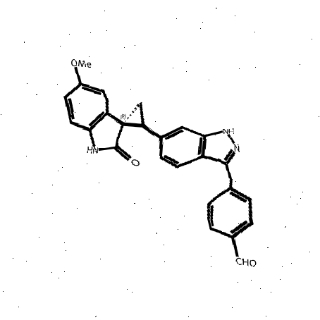 COc1ccc2c(c1)[C@]1(CC1c1ccc3c(-c4ccc(C=O)cc4)n[nH]c3c1)C(=O)N2